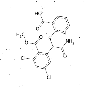 COC(=O)c1c(Cl)cc(Cl)cc1C(Sc1ncccc1C(=O)O)C(N)=O